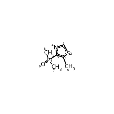 Cc1scnc1P(C)(C)=O